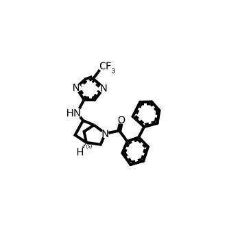 O=C(c1ccccc1-c1ccccc1)N1C[C@H]2CC(Nc3cnc(C(F)(F)F)cn3)C1C2